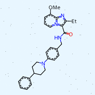 CCc1nc2c(OC)cccn2c1C(=O)NCc1ccc(N2CCC(c3ccccc3)CC2)cc1